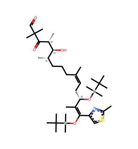 CC(=CC[C@H](O[Si](C)(C)C(C)(C)C)C(C)=C(O[Si](C)(C)C(C)(C)C)c1csc(C)n1)CCC[C@H](C)[C@H](O)[C@@H](C)C(=O)C(C)(C)C=O